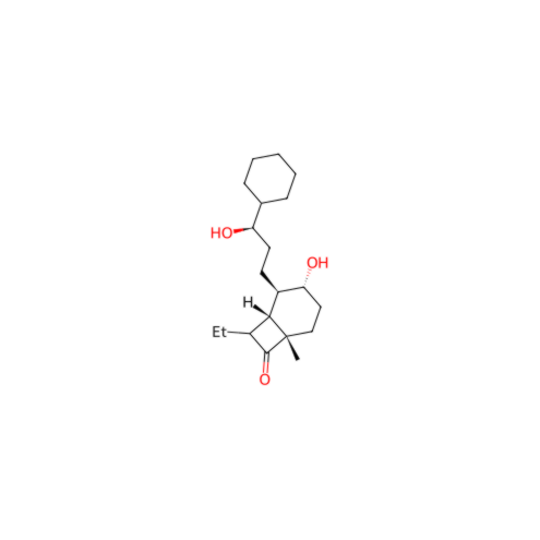 CCC1C(=O)[C@@]2(C)CC[C@@H](O)[C@H](CC[C@@H](O)C3CCCCC3)[C@@H]12